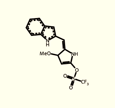 COC1C=C(OS(=O)(=O)C(F)(F)F)NC1=Cc1cc2ccccc2[nH]1